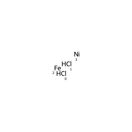 Cl.Cl.[Fe].[Ni]